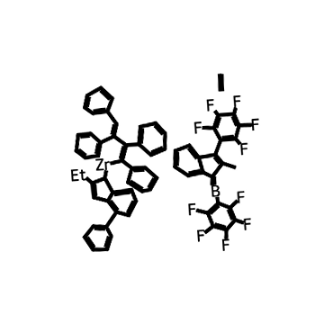 C=C.CC1=C(c2c(F)c(F)c(F)c(F)c2F)c2ccccc2C1=Bc1c(F)c(F)c(F)c(F)c1F.CCC1=Cc2c(-c3ccccc3)cccc2[CH]1[Zr][C](=C(C(=Cc1ccccc1)c1ccccc1)c1ccccc1)c1ccccc1